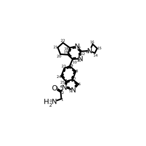 NCC(=O)n1ncc2cc(-c3nc(N4CCC4)nc4c3CCC4)ccc21